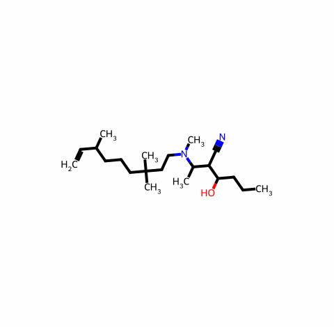 C=CC(C)CCCC(C)(C)CCN(C)C(C)C(C#N)C(O)CCC